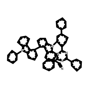 N#Cc1ccc2c3c(-c4cccc5c4c4ccccc4n5-c4ccccc4)cccc3n(-c3cc(-c4ccccc4)ccc3-c3nc(-c4ccccc4)nc(-c4ccccc4)n3)c2c1